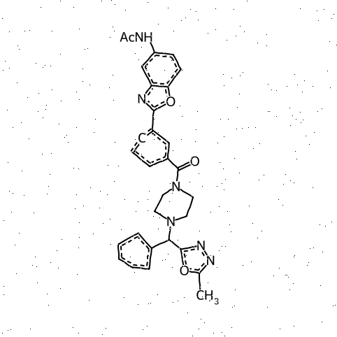 CC(=O)Nc1ccc2oc(-c3cccc(C(=O)N4CCN(C(c5ccccc5)c5nnc(C)o5)CC4)c3)nc2c1